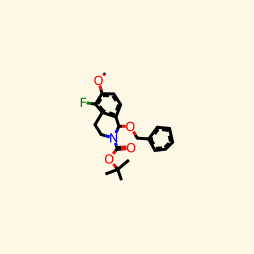 COc1ccc2c(c1F)CCN(C(=O)OC(C)(C)C)C2OCc1ccccc1